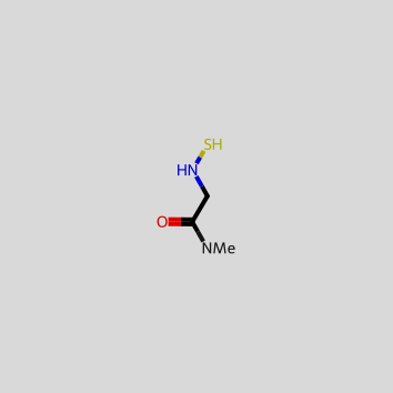 CNC(=O)CNS